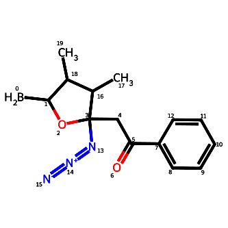 BC1OC(CC(=O)c2ccccc2)(N=[N+]=[N-])C(C)C1C